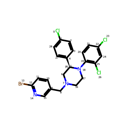 Clc1ccc([C@@H]2CN(Cc3ccc(Br)nc3)CCN2c2ccc(Cl)cc2Cl)cc1